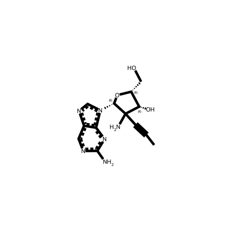 CC#CC1(N)[C@@H](O)[C@@H](CO)O[C@H]1n1cnc2cnc(N)nc21